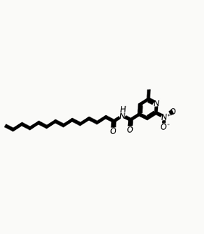 CCCCCCCCCCCCCC(=O)NC(=O)c1cc(C)nc([N+](=O)[O-])c1